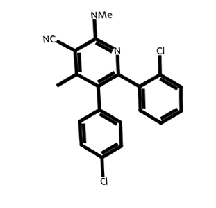 CNc1nc(-c2ccccc2Cl)c(-c2ccc(Cl)cc2)c(C)c1C#N